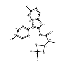 Cc1ccc2nc(NC(=O)[C@@H](C)C3CC(C)(F)C3)n(-c3ccc(F)cn3)c2n1